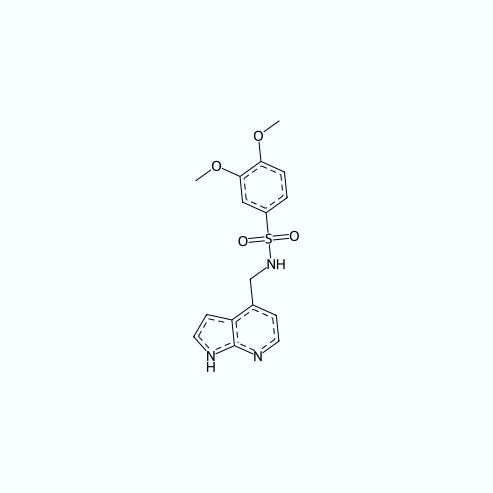 COc1ccc(S(=O)(=O)NCc2ccnc3[nH]ccc23)cc1OC